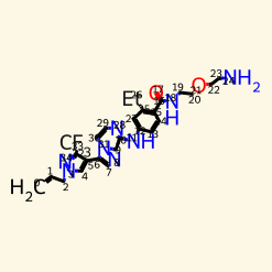 C=CCn1cc(-c2cnc3c(Nc4ccc(C(=O)NCCOCCN)c(CC)c4)nccn23)c(C(F)(F)F)n1